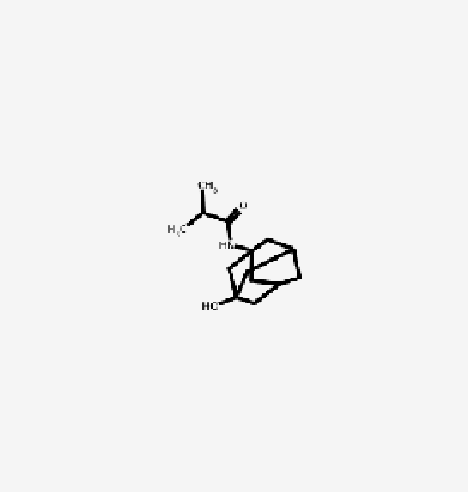 CC(C)C(=O)NC12CC3CC(CC(O)(C3)C1)C2